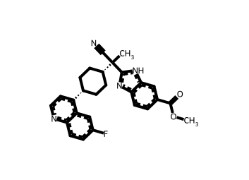 COC(=O)c1ccc2nc(C(C)(C#N)[C@H]3CC[C@@H](c4ccnc5ccc(F)cc54)CC3)[nH]c2c1